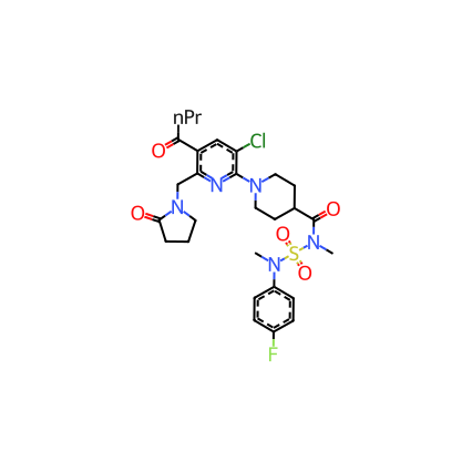 CCCC(=O)c1cc(Cl)c(N2CCC(C(=O)N(C)S(=O)(=O)N(C)c3ccc(F)cc3)CC2)nc1CN1CCCC1=O